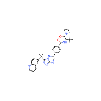 CC(C)(C)[C@H](NC(=O)c1ccc(-c2cnc3nnc(C4(c5ccc6ncccc6c5)CC4)n3n2)cc1)C(=O)N1CCC1